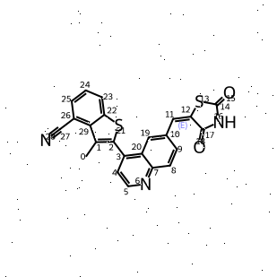 Cc1c(-c2ccnc3ccc(/C=C4/SC(=O)NC4=O)cc23)sc2cccc(C#N)c12